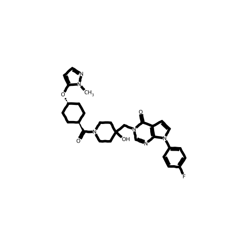 Cn1nccc1O[C@H]1CC[C@H](C(=O)N2CCC(O)(Cn3cnc4c(ccn4-c4ccc(F)cc4)c3=O)CC2)CC1